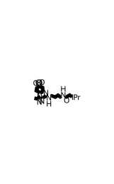 Cc1nnc2c(NCCCCNC(=O)CC(C)C)nc3cc(S(C)(=O)=O)ccc3n12